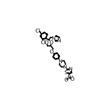 O=[N+]([O-])c1cnc(N2CCN(c3ccc(OCC4COC(Cn5ccnc5)(c5ccc(Cl)cc5Cl)O4)cc3)CC2)s1